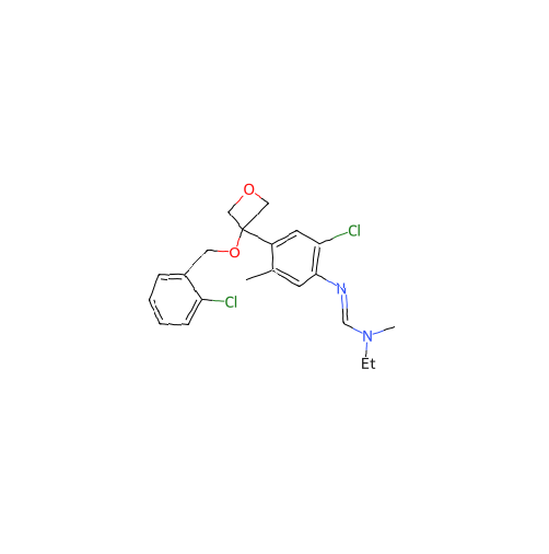 CCN(C)C=Nc1cc(C)c(C2(OCc3ccccc3Cl)COC2)cc1Cl